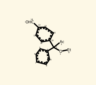 CCOC(C(C)=O)(c1ccccc1)c1ccc([C]=O)cc1